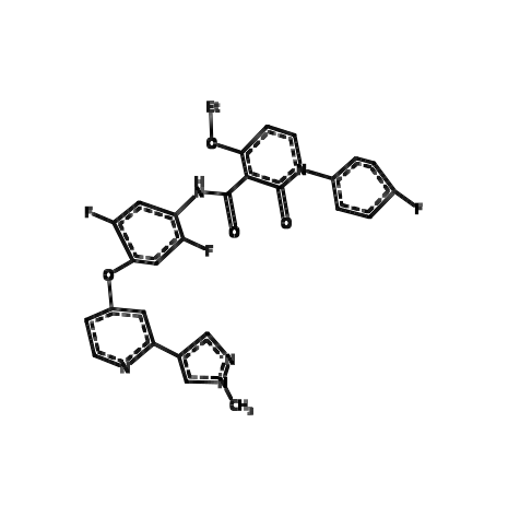 CCOc1ccn(-c2ccc(F)cc2)c(=O)c1C(=O)Nc1cc(F)c(Oc2ccnc(-c3cnn(C)c3)c2)cc1F